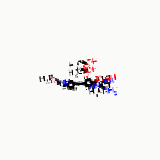 CCC(=O)O.CCC(=O)O.COCCNCc1ccc(C#Cc2ccc(C(=O)N[C@H](C(=O)NO)C(C)(C)N)cc2)cc1